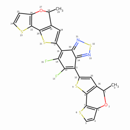 CC1Oc2ccsc2-c2sc(-c3c(F)c(F)c(-c4cc5c(s4)-c4sccc4OC5C)c4nsnc34)cc21